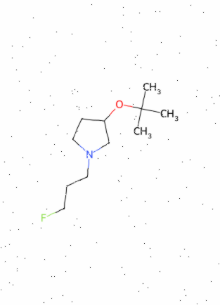 CC(C)(C)OC1CCN(CCCF)C1